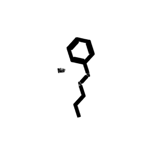 CCCSSc1ccccc1.[Na]